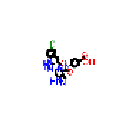 O=C(O)c1ccc(NC(=O)C2c3cn[nH]c3CCN2C(=O)/C=C/c2cc(Cl)ccc2-n2cnnn2)cc1